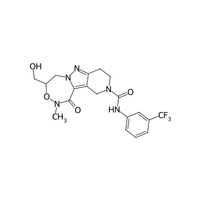 CN1OC(CO)Cn2nc3c(c2C1=O)CN(C(=O)Nc1cccc(C(F)(F)F)c1)CC3